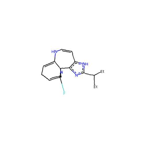 CCC(CC)c1nc2c([nH]1)C=CNC1=CCC=C3C(F)=CC=NC132